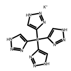 [K+].c1[nH]nnc1[B-](c1c[nH]nn1)(c1c[nH]nn1)c1c[nH]nn1